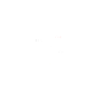 CC(C)(O)C=S